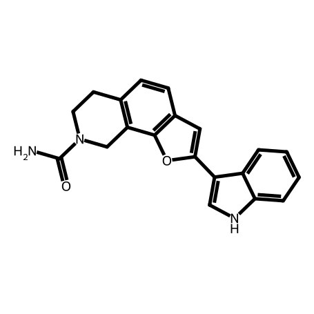 NC(=O)N1CCc2ccc3cc(-c4c[nH]c5ccccc45)oc3c2C1